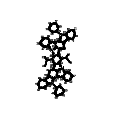 CC(C)c1c2c3cc4c5ccccc5n(-c5ccccc5)c4c4c5ccccc5n(c2c(C(C)C)c2c5cc6c7ccccc7n(-c7ccccc7)c6c6c7ccccc7n(c12)c56)c34